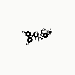 CCCN=S(=O)(N[C@H]1COC[C@@H](n2c3ccc(Cl)cc3c3cc(Cl)ccc32)[C@@H]1O)c1ccc(OC(F)(F)F)cc1